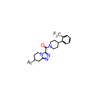 CC(=O)C1CCn2c(nnc2C(=O)N2CCC(c3ccccc3C(F)(F)F)CC2)C1